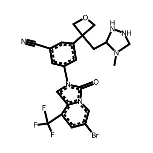 CN1CNNC1CC1(c2cc(C#N)cc(-n3cc4c(C(F)(F)F)cc(Br)cn4c3=O)c2)COC1